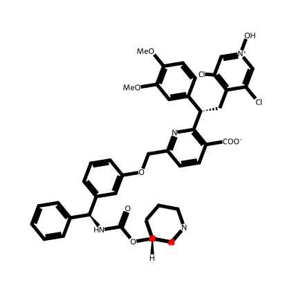 COc1ccc([C@H](Cc2c(Cl)c[n+](O)cc2Cl)c2nc(COc3cccc([C@@H](NC(=O)O[C@H]4CN5CCC4CC5)c4ccccc4)c3)ccc2C(=O)[O-])cc1OC